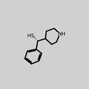 S[C@@H](c1ccccc1)C1CCNCC1